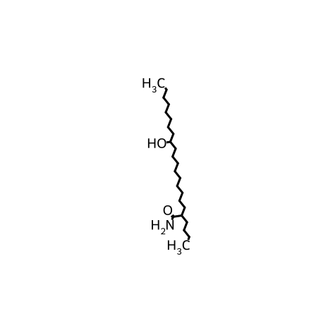 CCCCCCCCC(O)CCCCCCCCCC(CCCC)C(N)=O